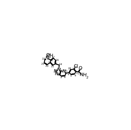 NC(=O)c1ccc(-c2ccc3nnn(Cc4ccc5c(ccc[n+]5O)c4)c3n2)cc1Cl